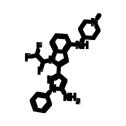 CN1CCC(Nc2cccc3c2cc(-c2cc(N)n(-c4ccccc4)n2)n3C(F)C(F)F)CC1